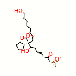 C[S+]([O-])CC(=O)C/C=C/C[C@@H](O)[C@](/C=C\CCCCCCO)(C(=O)O)C1CCCC1